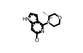 C[C@@H]1COCCN1c1nc(Cl)cc2[nH]ccc12